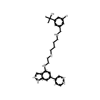 CC(C)(C#N)c1cc(Cl)cc(CNCCCCOCCNc2cc(-c3ccnnc3)cc3[nH]ncc23)c1